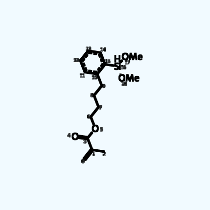 C=C(C)C(=O)OCCCCc1ccccc1[SiH](OC)OC